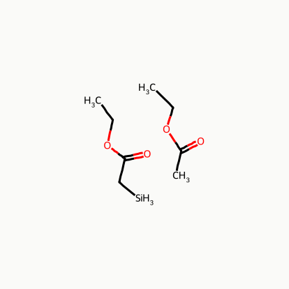 CCOC(=O)C[SiH3].CCOC(C)=O